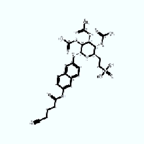 C#CCCCC(=O)Nc1ccc2cc(O[C@H]3O[C@H](CCP(=O)(O)O)[C@@H](OC(C)=O)[C@H](OC(C)=O)[C@@H]3OC(C)=O)ccc2c1